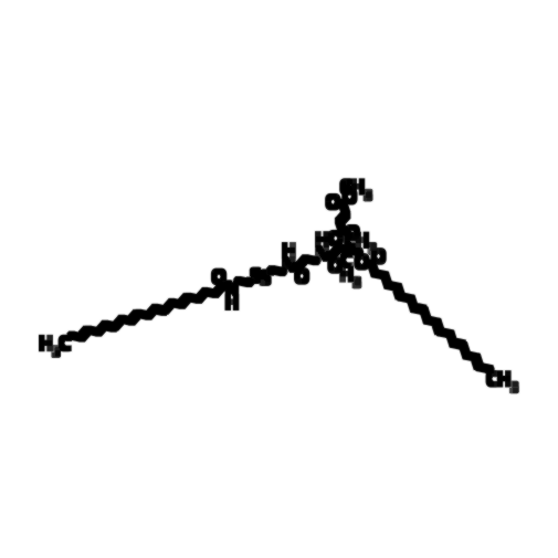 CCC=CCC=CCC=CCC=CCC=CCCCC(=O)NCCSSCCNC(=O)CCNC(=O)[C@H](OC(=O)C=CC(=O)OC)C(C)(C)COC(=O)CCCC=CCC=CCC=CCC=CCC=CCC